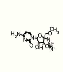 COC[C@@]1(N=[N+]=[N-])O[C@@H](n2ccc(N)nc2=O)[C@@H](O)[C@@H]1O